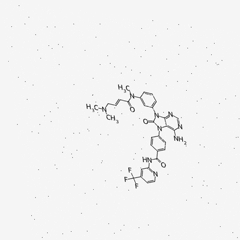 CN(C)C/C=C/C(=O)N(C)c1cccc(-n2c(=O)n(-c3ccc(C(=O)Nc4cc(C(F)(F)F)ccn4)cc3)c3c(N)ncnc32)c1